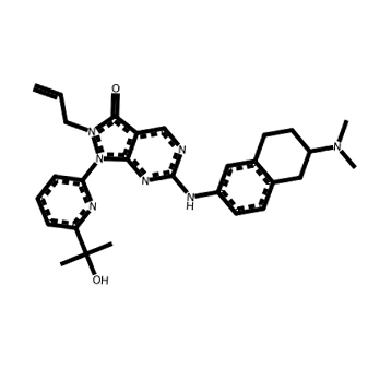 C=CCn1c(=O)c2cnc(Nc3ccc4c(c3)CCC(N(C)C)C4)nc2n1-c1cccc(C(C)(C)O)n1